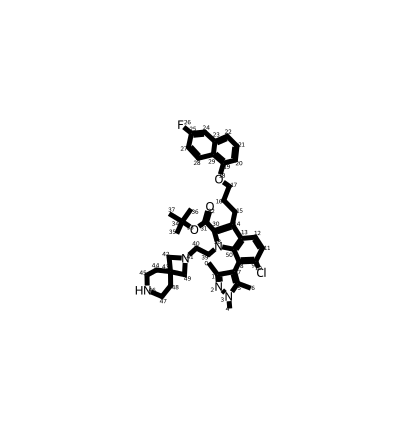 Cc1nn(C)c(C)c1-c1c(Cl)ccc2c(CCCOc3cccc4cc(F)ccc34)c(C(=O)OC(C)(C)C)n(CCN3CC4(CCNCC4)C3)c12